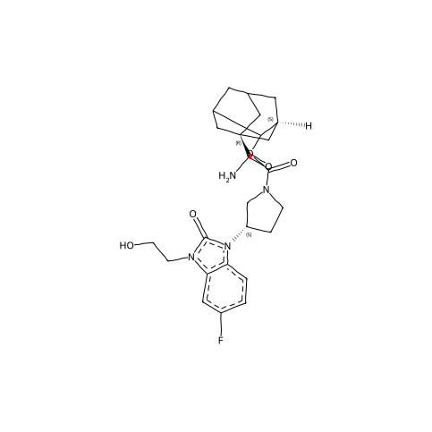 NC(=O)[C@]12CC3CC(C1)C(OC(=O)N1CC[C@H](n4c(=O)n(CCO)c5cc(F)ccc54)C1)[C@@H](C3)C2